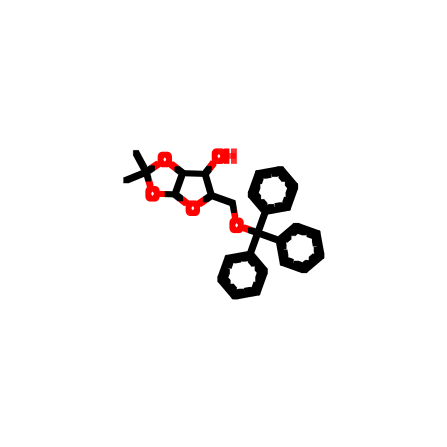 CC1(C)OC2OC(COC(c3ccccc3)(c3ccccc3)c3ccccc3)C(O)C2O1